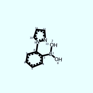 OB(O)c1ccccc1-n1cccn1